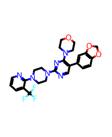 FC(F)(F)c1cccnc1N1CCN(c2ncc(-c3ccc4c(c3)OCO4)c(N3CCOCC3)n2)CC1